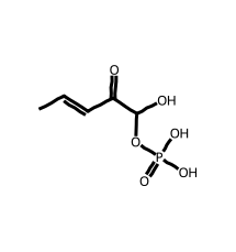 CC=CC(=O)C(O)OP(=O)(O)O